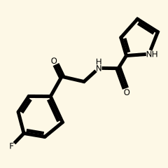 O=C(CNC(=O)c1ccc[nH]1)c1ccc(F)cc1